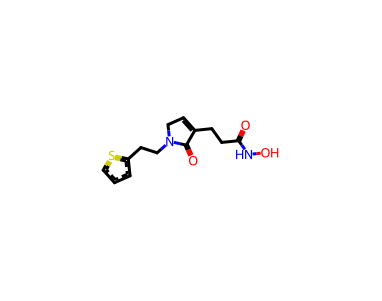 O=C(CCC1=CCN(CCc2cccs2)C1=O)NO